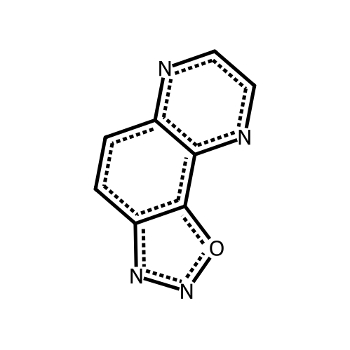 c1cnc2c(ccc3nnoc32)n1